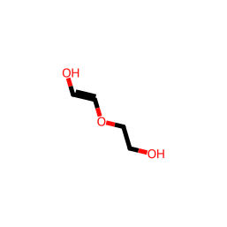 OC=COCCO